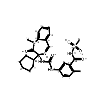 Cc1ccc(NC(=O)N[C@]2(C3CCCCC3)N=Cc3ccccc3N(C)C2=O)cc1C(=O)NS(C)(=O)=O